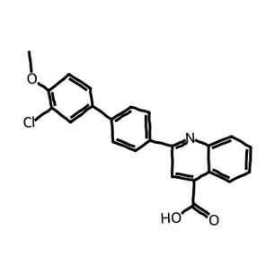 COc1ccc(-c2ccc(-c3cc(C(=O)O)c4ccccc4n3)cc2)cc1Cl